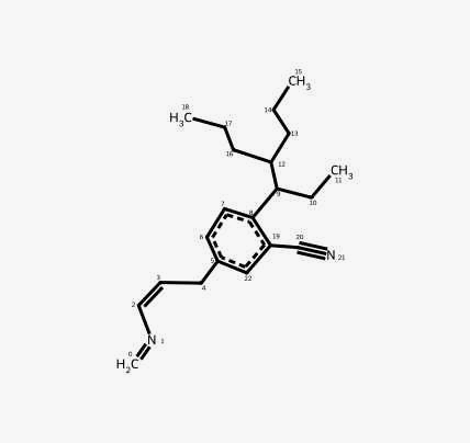 C=N/C=C\Cc1ccc(C(CC)C(CCC)CCC)c(C#N)c1